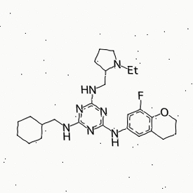 CCN1CCCC1CNc1nc(NCC2CCCCC2)nc(Nc2cc(F)c3c(c2)CCCO3)n1